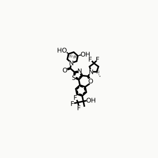 Cc1cc(C(C)(O)C(F)(F)F)ccc1-c1sc(C(=O)N2C[C@H](O)C[C@H](O)C2)nc1C(=O)N1CC(F)(F)C[C@@H]1C